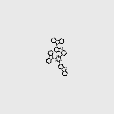 c1ccc2c(c1)oc1cc(-c3nc(-c4cccc5oc6c(-n7c8ccccc8c8ccccc87)cccc6c45)nc(-n4c5ccccc5c5ccccc54)n3)ccc12